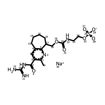 Cc1nc2c(cc1C(=O)NC(=N)N)CCCCC2COC(=O)NCCOS(=O)(=O)[O-].[Na+]